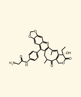 CC[C@@]1(O)C(=O)OCC2=C1/C=C(\C)c1nc3cc4c(cc3c(-c3ccc(NC(=O)CN)cc3)c1CC(C)C2=O)OCO4